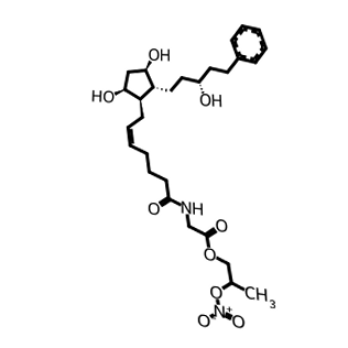 CC(COC(=O)CNC(=O)CCC/C=C\C[C@@H]1[C@@H](CC[C@@H](O)CCc2ccccc2)[C@H](O)C[C@@H]1O)O[N+](=O)[O-]